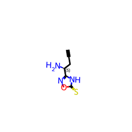 C#CC[C@H](N)c1noc(=S)[nH]1